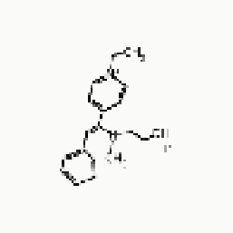 CC[n+]1ccc(C(=Cc2ccccc2)N(C)CCO)cc1.[I-]